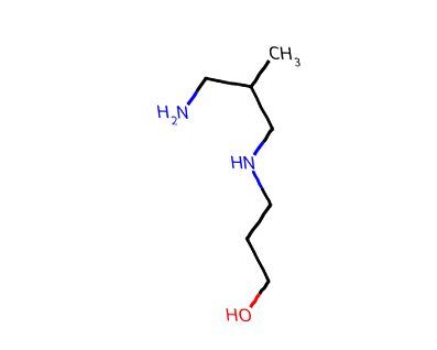 CC(CN)CNCCCO